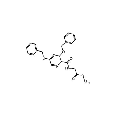 COC(=O)CNC(=O)C1N=CC(OCc2ccccc2)=CC1OCc1ccccc1